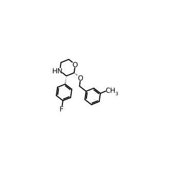 Cc1cccc(CO[C@H]2OCCN[C@H]2c2ccc(F)cc2)c1